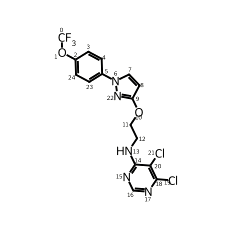 FC(F)(F)Oc1ccc(-n2ccc(OCCNc3ncnc(Cl)c3Cl)n2)cc1